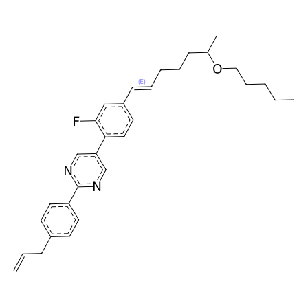 C=CCc1ccc(-c2ncc(-c3ccc(/C=C/CCCC(C)OCCCCC)cc3F)cn2)cc1